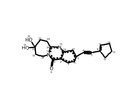 O=c1c2ccc(C#CC3=CCCC3)cc2nc2n1CCC(O)(O)CC2